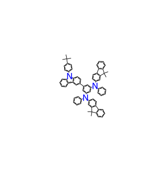 CC(C)(C)c1ccc(-n2c3ccccc3c3cc(-c4cc(N(c5ccccc5)c5ccc6c(c5)C(C)(C)c5ccccc5-6)cc(N(c5ccccc5)c5ccc6c(c5)C(C)(C)c5ccccc5-6)c4)ccc32)cc1